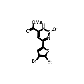 CCc1sc(C2=N[S+]([O-])NC(C(=O)OC)=C2)cc1Br